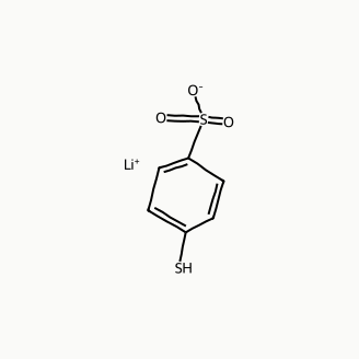 O=S(=O)([O-])c1ccc(S)cc1.[Li+]